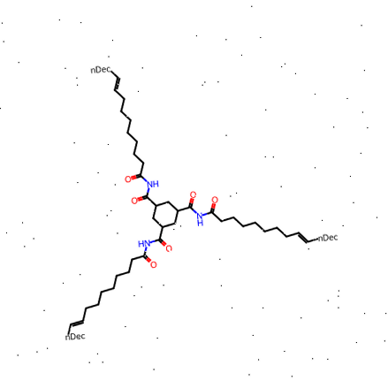 CCCCCCCCCCC=CCCCCCCCC(=O)NC(=O)C1CC(C(=O)NC(=O)CCCCCCCC=CCCCCCCCCCC)CC(C(=O)NC(=O)CCCCCCCC=CCCCCCCCCCC)C1